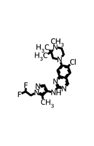 Cc1c(Nc2ncc3cc(Cl)c(N4CCN(C)C(C)(C)C4)cc3n2)cnn1CC(F)F